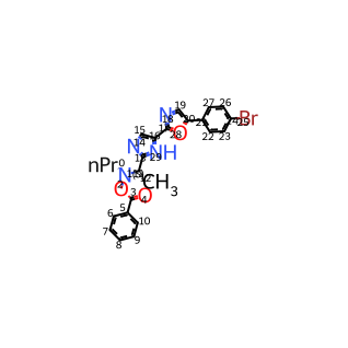 CCCN(OC(=O)c1ccccc1)[C@@H](C)c1ncc(-c2ncc(-c3ccc(Br)cc3)o2)[nH]1